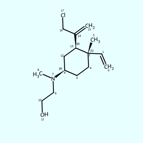 C=C[C@]1(C)CC[C@@H](N(C)CCO)C[C@H]1C(=C)CCl